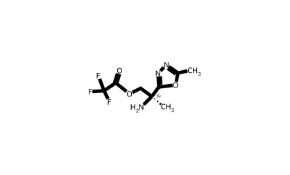 Cc1nnc([C@@](C)(N)COC(=O)C(F)(F)F)o1